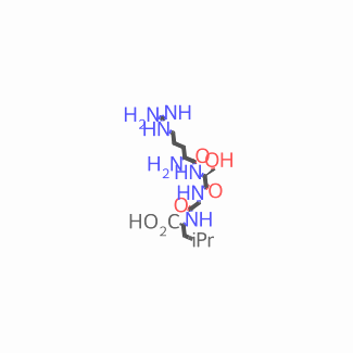 CC(C)C[C@H](NC(=O)CNC(=O)[C@H](CO)NC(=O)[C@@H](N)CCCNC(=N)N)C(=O)O